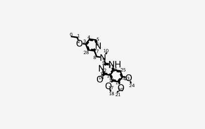 CCOc1ccnc(CN(C)c2nc(=O)c3c(OC)c(OC)c(OC)cc3[nH]2)c1